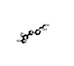 CC(C)Sc1cc(-c2cnn([C@H]3CCCN(C[C@H](O)CO)C3)c2)cn2ncc(C#N)c12